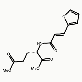 COC(=O)CC[C@H](NC(=O)/C=C/c1ccco1)C(=O)OC